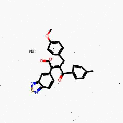 COc1ccc(C/C(C(=O)c2ccc(C)cc2)=C(\C(=O)[O-])c2ccc3nsnc3c2)cc1.[Na+]